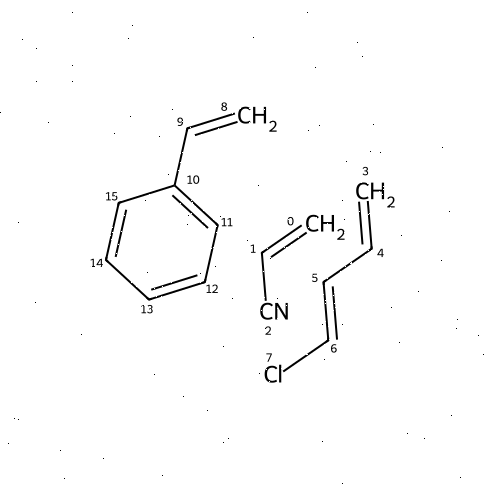 C=CC#N.C=CC=CCl.C=Cc1ccccc1